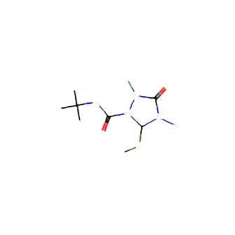 CSC1N(N)C(=O)N(Cl)N1C(=O)NC(C)(C)C